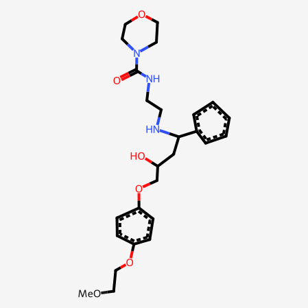 COCCOc1ccc(OCC(O)CC(NCCNC(=O)N2CCOCC2)c2ccccc2)cc1